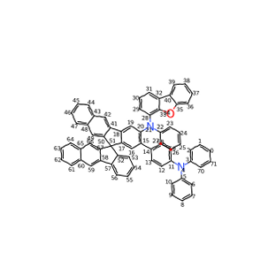 c1ccc(N(c2ccccc2)c2ccc(-c3cc4c(cc3N(c3ccccc3)c3cccc5c3oc3ccccc35)-c3cc5ccccc5cc3C43c4ccccc4-c4cc5ccccc5cc43)cc2)cc1